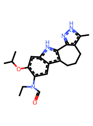 CCN(C=O)c1cc2c3c([nH]c2cc1OC(C)C)-c1n[nH]c(C)c1CCC3